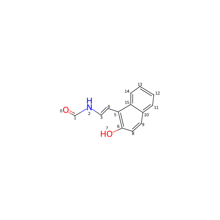 O=CNC=Cc1c(O)ccc2ccccc12